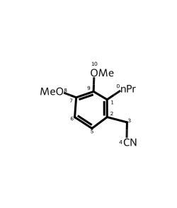 CCCc1c(CC#N)ccc(OC)c1OC